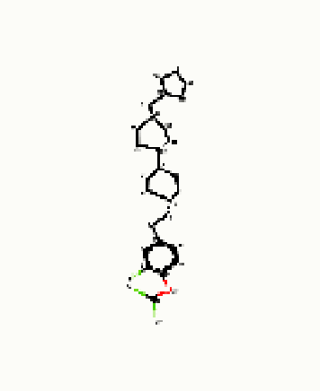 Fc1cc(CC[C@H]2CC[C@H]([C@H]3CC[C@H](CC4CCCC4)CC3)CC2)ccc1OC(F)F